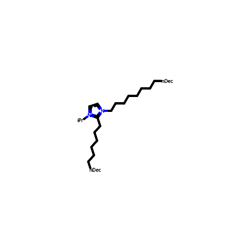 CCCCCCCCCCCCCCCCCCn1cc[n+](C(C)C)c1CCCCCCCCCCCCCCCC